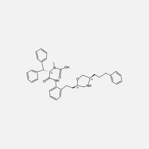 CN(C(=O)O)[C@H](C(=O)Nc1ccccc1CC[C@@H]1CN[C@H](CCCc2ccccc2)CO1)C(c1ccccc1)c1ccccc1